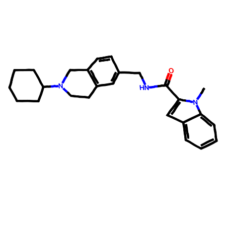 Cn1c(C(=O)NCc2ccc3c(c2)CCN(C2CCCCC2)C3)cc2ccccc21